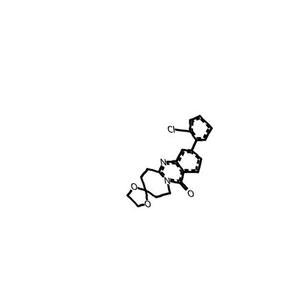 O=c1c2ccc(-c3ccccc3Cl)cc2nc2n1CCC1(CC2)OCCO1